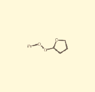 CC(C)OOC1CCCO1